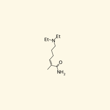 CCN(CC)CCCC=C(C)C(N)=O